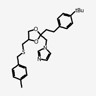 Cc1ccc(CSCC2COC(CCc3ccc(C(C)(C)C)cc3)(Cn3ccnc3)O2)cc1